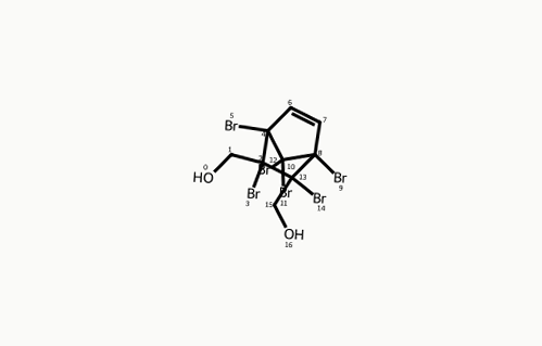 OCC1(Br)C2(Br)C=CC(Br)(C2(Br)Br)C1(Br)CO